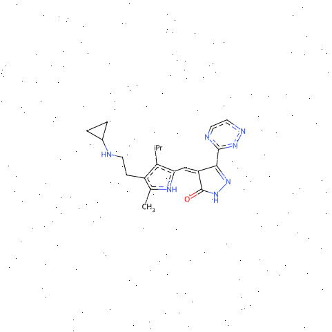 Cc1[nH]c(C=C2C(=O)NN=C2c2nccnn2)c(C(C)C)c1CCNC1CC1